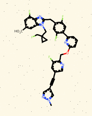 Cn1cc(C#Cc2cnc(COc3cccc(-c4cc(F)c(Cc5nc6c(F)cc(C(=O)O)cc6n5CC5(CF)CC5)cc4F)n3)c(F)c2)cn1